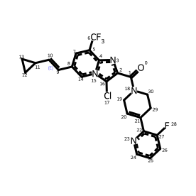 O=C(c1nc2c(C(F)(F)F)cc(/C=C/C3CC3)cn2c1Cl)N1CC=C(c2ncccc2F)CC1